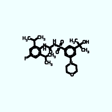 CC(C)c1cc(F)cc(C(C)C)c1NC(=O)NS(=O)(=O)c1cc(N2CCOCC2)cc(C(C)(C)O)c1